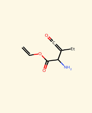 C=COC(=O)C(N)C(=C=O)CC